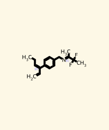 C=C/C(=C/CC)c1ccc(C/N=C(\C)C(C)(F)F)cc1